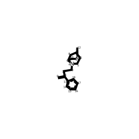 C=C(CCN1CC2CCC1CN2C)c1ccccc1